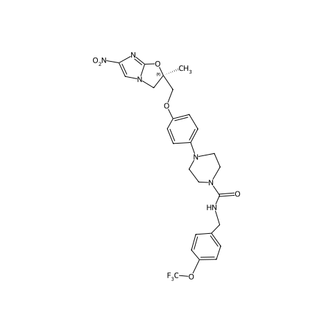 C[C@]1(COc2ccc(N3CCN(C(=O)NCc4ccc(OC(F)(F)F)cc4)CC3)cc2)Cn2cc([N+](=O)[O-])nc2O1